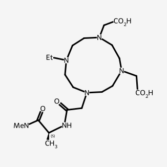 CCN1CCN(CC(=O)O)CCN(CC(=O)O)CCN(CC(=O)N[C@@H](C)C(=O)NC)CC1